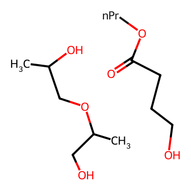 CC(O)COC(C)CO.CCCOC(=O)CCCO